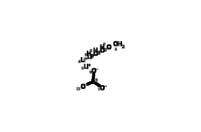 O.O.O.O.[Li+].[Li+].[Li+].[O-]B([O-])[O-]